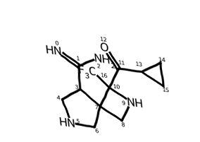 N=C(N)C1CNCC12CNC2(C(=O)C1CC1)C(F)(F)F